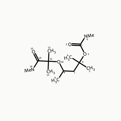 CNC(=O)OC(C)(C)CC(C)OC(C)(C)C(=O)NC